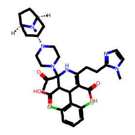 CC(=O)C1(N2CCN([C@@H]3C[C@H]4CC[C@@H](C3)N4C)CC2)NC(CCc2nccn2C)=C(C(=O)O)C(c2c(Cl)cccc2Cl)C1C(=O)O